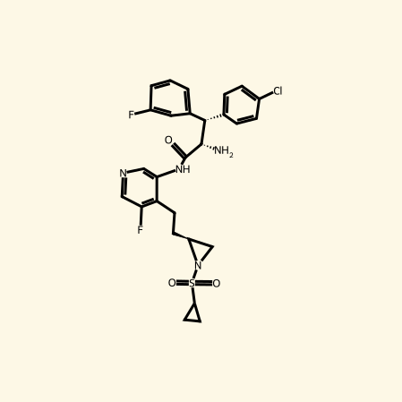 N[C@H](C(=O)Nc1cncc(F)c1CC[C@H]1CN1S(=O)(=O)C1CC1)[C@@H](c1ccc(Cl)cc1)c1cccc(F)c1